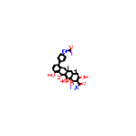 NC(=O)C1=C(O)C[C@@H]2C[C@@H]3Cc4c(-c5ccc(NC(=O)I)cc5)ccc(O)c4C(=O)C3=C(O)[C@]2(O)C1=O